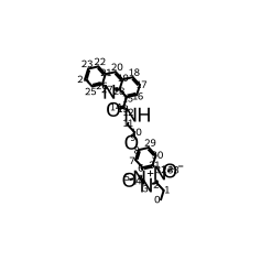 CCc1n[n+]([O-])c2cc(OCCNC(=O)c3cccc4cc5ccccc5nc34)ccc2[n+]1[O-]